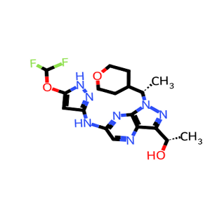 C[C@H](O)c1nn([C@@H](C)C2CCOCC2)c2nc(Nc3cc(OC(F)F)[nH]n3)cnc12